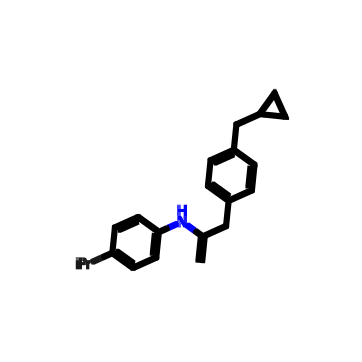 C=C(Cc1ccc(CC2CC2)cc1)Nc1ccc(C(C)C)cc1